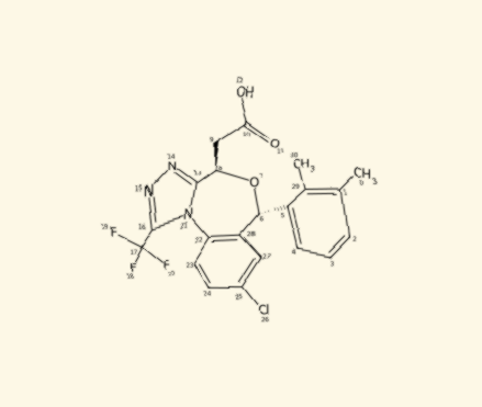 Cc1cccc([C@H]2O[C@H](CC(=O)O)c3nnc(C(F)(F)F)n3-c3ccc(Cl)cc32)c1C